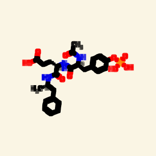 CC(=O)N[C@@H](Cc1ccc(OP(=O)(O)O)cc1)C(=O)N[C@@H](CCC(=O)O)C(=O)N[C@@H](C)Cc1ccccc1